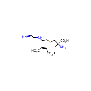 C[C@](N)(CSCCNCC=N)C(=O)O.O=C(O)/C=C\C(=O)O